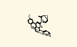 CC1COCCN1c1cc(-c2cc(F)ccc2N)c2ccnc(-c3ccn[nH]3)c2n1